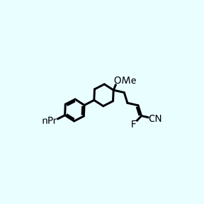 CCCc1ccc(C2CCC(CCC=C(F)C#N)(OC)CC2)cc1